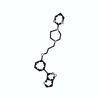 c1cnc(N2CCN(CCCOc3cccc(-c4noc5ccsc45)c3)CC2)nc1